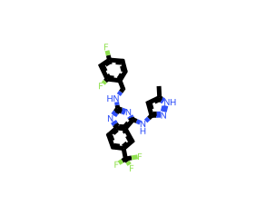 Cc1cc(Nc2nc(NCc3ccc(F)cc3F)nc3ccc(C(F)(F)F)cc23)n[nH]1